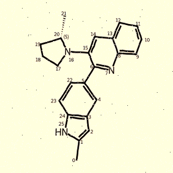 Cc1cc2cc(-c3nc4ccccc4cc3N3CCC[C@@H]3C)ccc2[nH]1